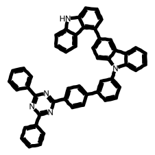 c1ccc(-c2nc(-c3ccccc3)nc(-c3ccc(-c4cccc(-n5c6ccccc6c6cc(-c7cccc8[nH]c9ccccc9c78)ccc65)c4)cc3)n2)cc1